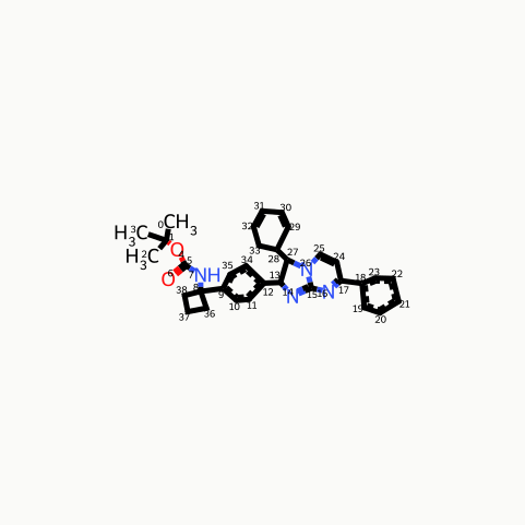 CC(C)(C)OC(=O)NC1(c2ccc(C3N=C4N=C(c5ccccc5)C=CN4C3C3C=CC=CC3)cc2)CCC1